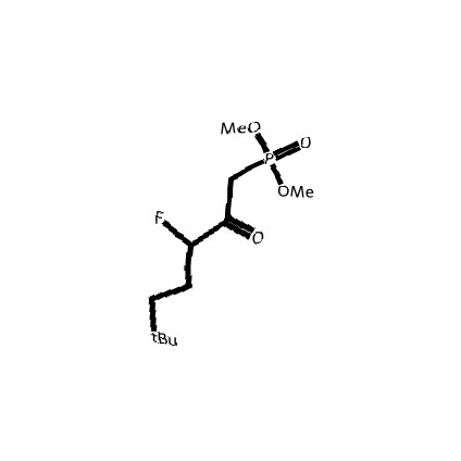 COP(=O)(CC(=O)C(F)CCC(C)(C)C)OC